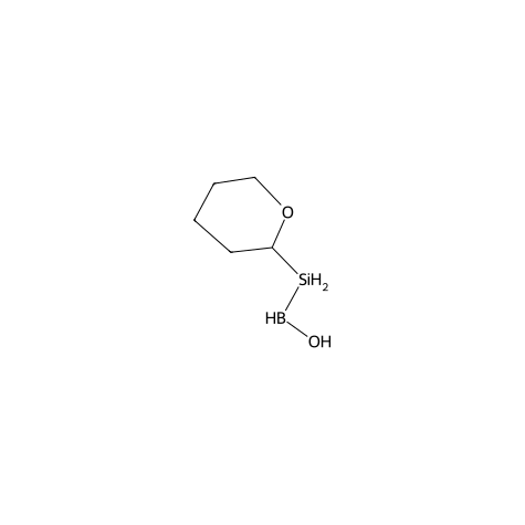 OB[SiH2]C1CCCCO1